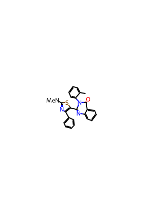 CNc1nc(-c2ccccc2)c(-c2nc3ccccc3c(=O)n2-c2ccccc2C)s1